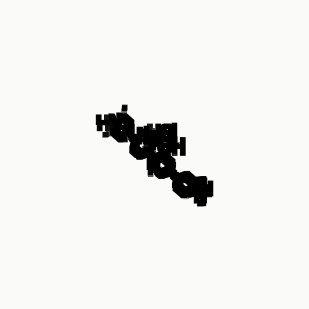 C[C@@H]1CN(c2ccc(-c3ncc(-c4ccc5c(cnn5C)c4)cc3O)nn2)C[C@H](C)N1.Cl.Cl